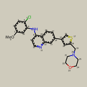 COc1ccc(Cl)c(Nc2ccnc3cc(-c4csc(CN5CCOCC5)c4)ccc23)c1